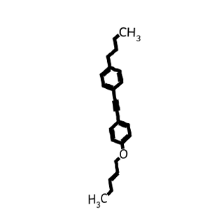 CCC=CCOc1ccc(C#Cc2ccc(CCCC)cc2)cc1